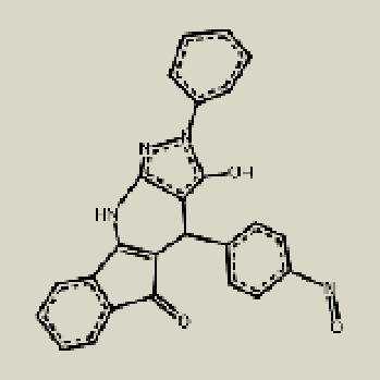 O=Nc1ccc(C2C3=C(Nc4nn(-c5ccccc5)c(O)c42)c2ccccc2C3=O)cc1